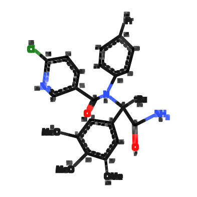 COc1cc(C(C(N)=O)(N(C(=O)c2ccc(Cl)nc2)c2ccc(C(C)C)cc2)C(C)(C)C)cc(OC)c1OC